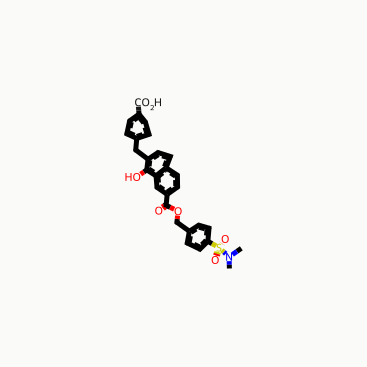 CN(C)S(=O)(=O)c1ccc(COC(=O)c2ccc3ccc(Cc4ccc(C(=O)O)cc4)c(O)c3c2)cc1